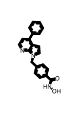 O=C(NO)c1ccc(Cn2ccc3c(-c4ccccc4)ccnc32)cc1